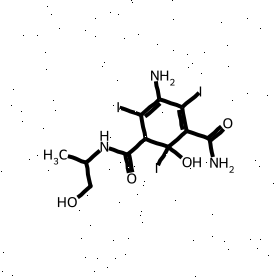 CC(CO)NC(=O)C1C(I)=C(N)C(I)=C(C(N)=O)C1(O)I